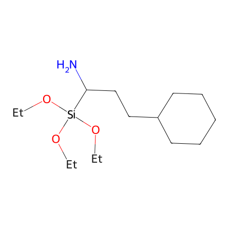 CCO[Si](OCC)(OCC)C(N)CCC1CCCCC1